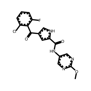 COc1ncc(NC(=O)c2cc(C(=O)c3c(F)cccc3Cl)c[nH]2)cn1